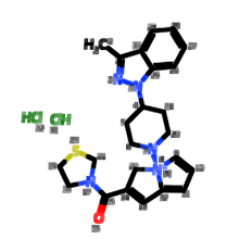 Cc1nn(C2CCN([N@@+]34C=CC=C3C=C(C(=O)N3CCSC3)C4)CC2)c2ccccc12.Cl.Cl